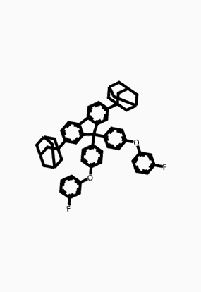 Fc1cccc(Oc2ccc(C3(c4ccc(Oc5cccc(F)c5)cc4)c4cc(C56CC7CC(CC(C7)C5)C6)ccc4-c4ccc(C56CC7CC(CC(C7)C5)C6)cc43)cc2)c1